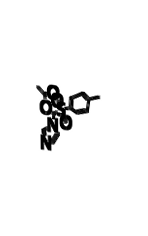 CC(=O)OC(n1ccnc1)S(=O)(=O)c1ccc(C)cc1